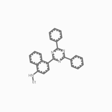 CCNc1ccc(-c2nc(-c3ccccc3)nc(-c3ccccc3)n2)c2ccccc12